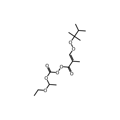 CCOC(C)OC(=O)OOC(=O)C(C)=COOC(C)(C)C(C)C